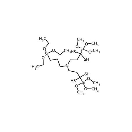 CCO[Si](CCCN(CCC(S)(S)[Si](OC)(OC)OC)CCC(S)(S)[Si](OC)(OC)OC)(OCC)OCC